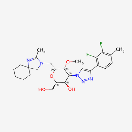 CO[C@@H]1[C@@H](n2cc(-c3ccc(C)c(F)c3F)nn2)[C@@H](O)[C@@H](CO)O[C@@H]1CN1CC2(CCCCC2)N=C1C